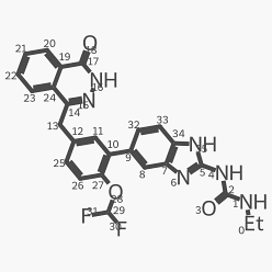 CCNC(=O)Nc1nc2cc(-c3cc(Cc4n[nH]c(=O)c5ccccc45)ccc3OC(F)F)ccc2[nH]1